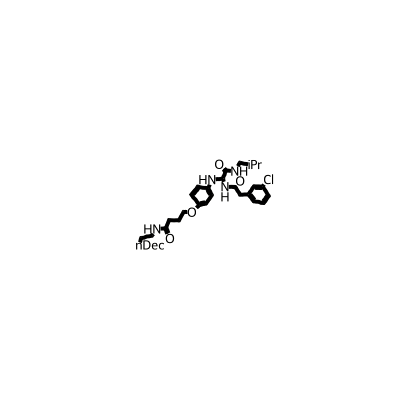 CCCCCCCCCCCCNC(=O)CCCOc1ccc(NC(NC(=O)Cc2cccc(Cl)c2)C(=O)NCC(C)C)cc1